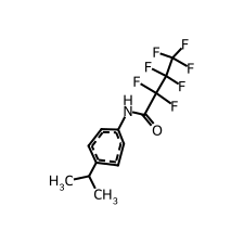 CC(C)c1ccc(NC(=O)C(F)(F)C(F)(F)C(F)(F)F)cc1